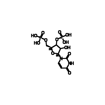 O=c1ccn([C@H]2O[C@@H](COP(=O)(O)O)C(OP(=O)(O)O)C2O)c(=O)[nH]1